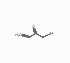 [CH2]CCC(=O)C=C